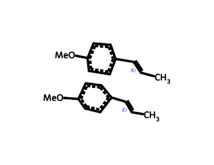 C/C=C/c1ccc(OC)cc1.C/C=C/c1ccc(OC)cc1